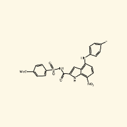 COc1ccc(S(=O)(=O)NC(=O)c2cc3c(Nc4ccc(F)cc4)ccc([N+](=O)[O-])c3[nH]2)cc1